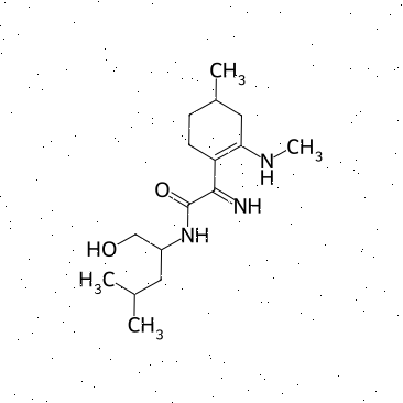 CNC1=C(C(=N)C(=O)NC(CO)CC(C)C)CCC(C)C1